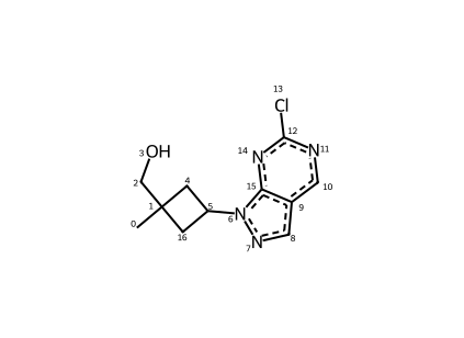 CC1(CO)CC(n2ncc3cnc(Cl)nc32)C1